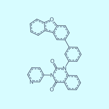 O=c1c2ccccc2n(-c2cccc(-c3ccc4oc5ccccc5c4c3)c2)c(=O)n1-c1cccnc1